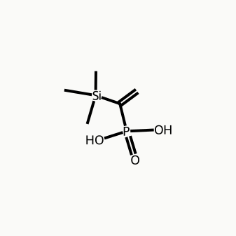 C=C([Si](C)(C)C)P(=O)(O)O